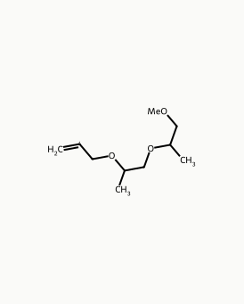 C=[C]COC(C)COC(C)COC